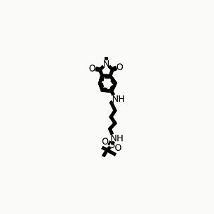 CN1C(=O)c2ccc(NCCCCCNS(=O)(=O)C(C)(C)C)cc2C1=O